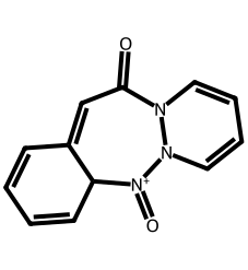 O=C1C=C2C=CC=CC2[N+](=O)N2C=CC=CN12